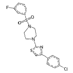 O=S(=O)(c1cccc(F)c1)N1CCN(c2nc(-c3ccc(Cl)cc3)cs2)CC1